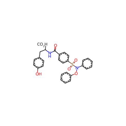 O=C(NC(Cc1ccc(O)cc1)C(=O)O)c1ccc(S(=O)(=O)N(Oc2ccccc2)c2ccccc2)cc1